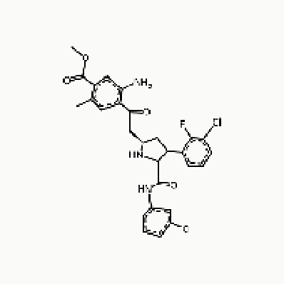 COC(=O)c1cc(N)c(C(=O)C[C@H]2CC(c3cccc(Cl)c3F)C(C(=O)Nc3cccc(Cl)c3)N2)cc1C